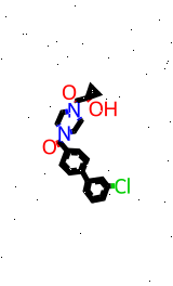 O=C(c1ccc(-c2cccc(Cl)c2)cc1)N1CCN(C(=O)C2(O)CC2)CC1